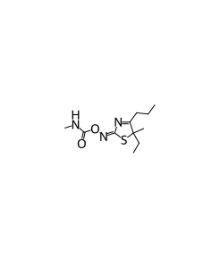 CCCC1=NC(=NOC(=O)NC)SC1(C)CC